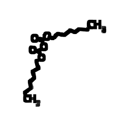 CCCCCCCCOC(=O)OC(=O)OCCCCCCCC